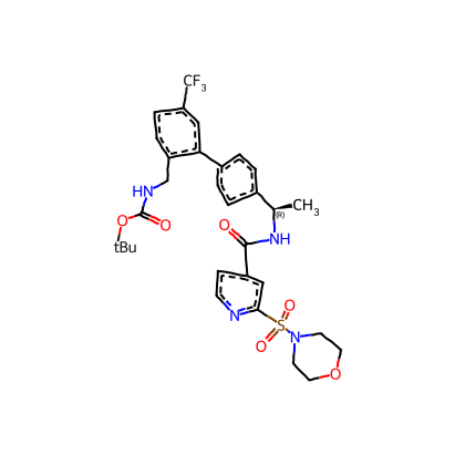 C[C@@H](NC(=O)c1ccnc(S(=O)(=O)N2CCOCC2)c1)c1ccc(-c2cc(C(F)(F)F)ccc2CNC(=O)OC(C)(C)C)cc1